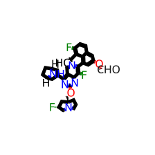 C#Cc1c(F)ccc2cc(OC=O)cc(-c3ncc4c(C5C[C@H]6CC[C@@H](C5)N6)nc(OC[C@@]56CCCN5C[C@H](F)C6)nc4c3F)c12